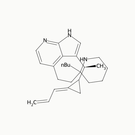 C=C/C=C1\CC1[C@H](C)c1c[nH]c2nccc(CCC3(CCCC)CCCCN3)c12